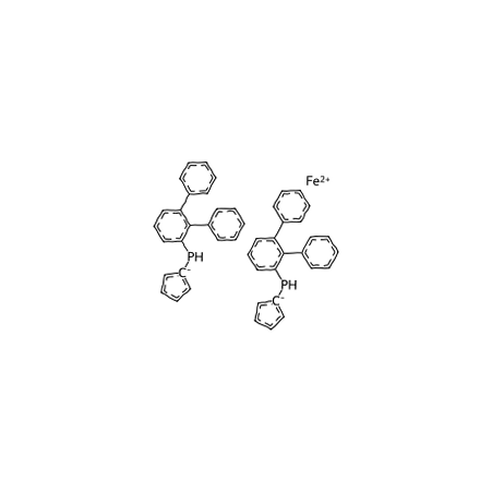 [Fe+2].c1ccc(-c2cccc(P[c-]3cccc3)c2-c2ccccc2)cc1.c1ccc(-c2cccc(P[c-]3cccc3)c2-c2ccccc2)cc1